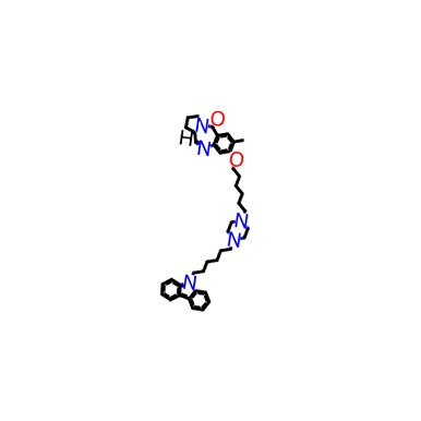 Cc1cc2c(cc1OCCCCCCN1CCN(CCCCCCn3c4ccccc4c4ccccc43)CC1)N=C[C@@H]1CCCN1C2=O